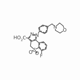 O=C(O)c1nn(-c2ccc(CN3CCOCC3)cc2)c2c1CS(=O)(=O)c1c(F)cccc1-2